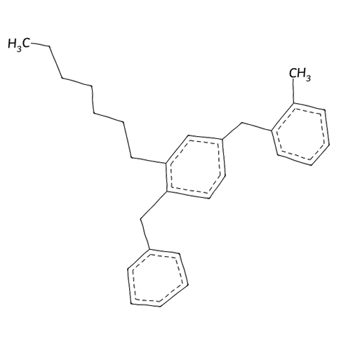 CCCCCCCc1cc(Cc2ccccc2C)ccc1Cc1ccccc1